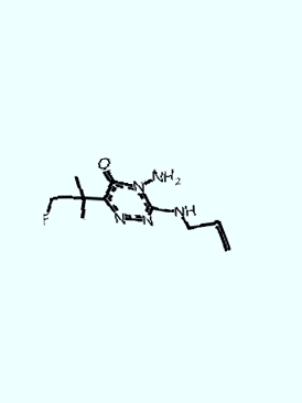 C=CCNc1nnc(C(C)(C)CF)c(=O)n1N